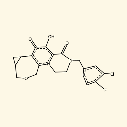 O=C1c2c(O)c(=O)c3c(n2CCN1Cc1ccc(F)c(Cl)c1)COCC1CC31